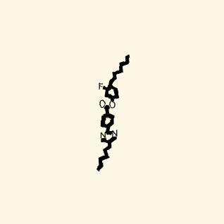 CCCCCCCc1ccc(OC(=O)c2ccc(-c3ncc(CCCCCC)cn3)cc2)cc1F